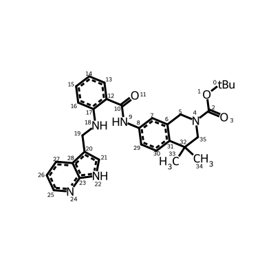 CC(C)(C)OC(=O)N1Cc2cc(NC(=O)c3ccccc3NCc3c[nH]c4ncccc34)ccc2C(C)(C)C1